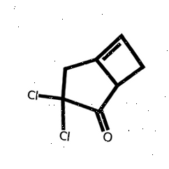 O=C1C2CC=C2CC1(Cl)Cl